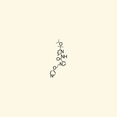 CC(C)OC(C)(C)c1csc(NC(=O)c2cccn2CCOc2ccncc2)n1